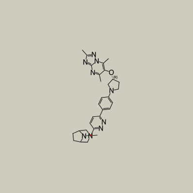 Cc1nc2nc(C)c(O[C@@H]3CCN(c4ccc(-c5ccc(CN6C7CCC6CN(C)C7)nn5)cc4)C3)c(C)n2n1